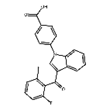 O=C(O)c1ccc(-n2cc(C(=O)c3c(F)cccc3F)c3ccccc32)cc1